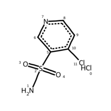 Cl.NS(=O)(=O)c1cnccc1Cl